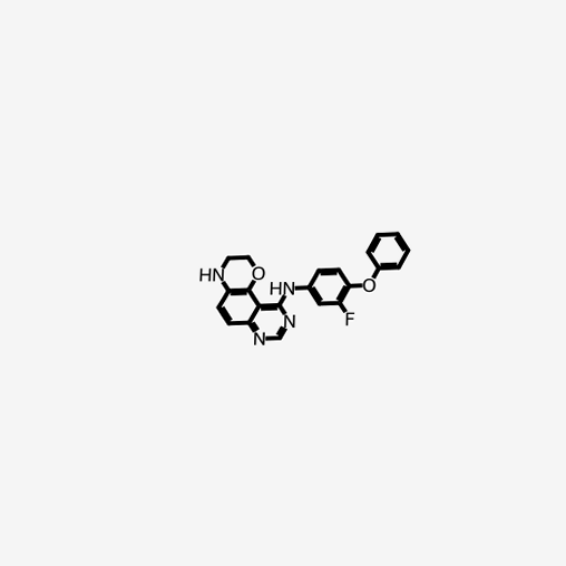 Fc1cc(Nc2ncnc3ccc4c(c23)OCCN4)ccc1Oc1ccccc1